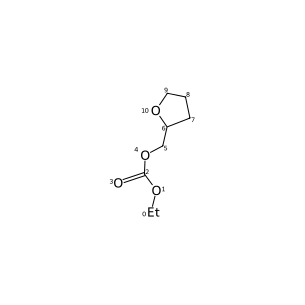 CCOC(=O)OCC1CCCO1